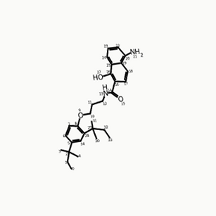 CCC(C)(C)c1ccc(OCCCNC(=O)c2ccc3c(N)cccc3c2O)c(C(C)(C)CC)c1